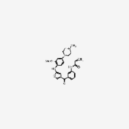 C=CC(=O)Nc1cccc(C(=O)c2coc(Nc3ccc(N4CCN(C)CC4)cc3OC)c2)c1